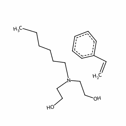 C=Cc1ccccc1.CCCCCCN(CCO)CCO